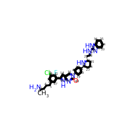 C[C@H](N)CCCc1cc(Cl)c(F)c(-c2cc3cn(-c4ccc([C@@H]5CCC[C@@H](CCNc6nc7ccccc7[nH]6)N5)cc4)c(=O)nc3[nH]2)c1